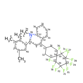 Cc1cc(C)c(C)c(-c2cc(C3CCC4(CC3)C(F)(F)C(F)(F)C(F)(F)C(F)(F)C4(F)F)c3ccccc3[n+]2C)c1